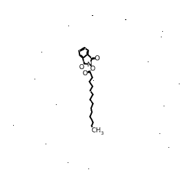 CCCCCCCCCCCCCC(=O)ON1C(=O)c2ccccc2C1=O